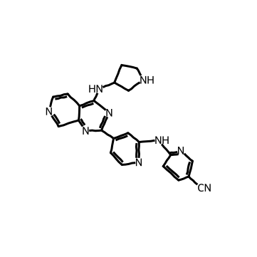 N#Cc1ccc(Nc2cc(-c3nc(NC4CCNC4)c4ccncc4n3)ccn2)nc1